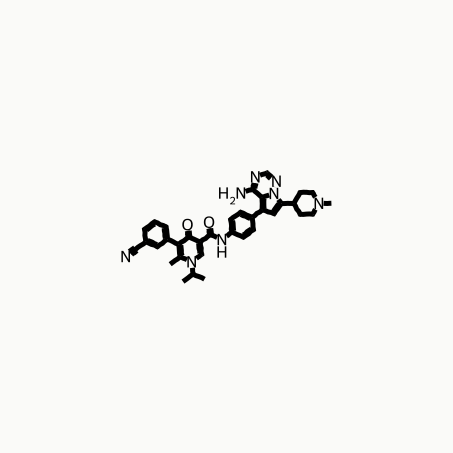 Cc1c(-c2cccc(C#N)c2)c(=O)c(C(=O)Nc2ccc(-c3cc(C4CCN(C)CC4)n4ncnc(N)c34)cc2)cn1C(C)C